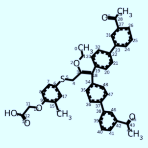 CCOC(CSc1ccc(OCC(=O)O)c(C)c1)=C(c1ccc(-c2cccc(C(C)=O)c2)cc1)c1ccc(-c2cccc(C(C)=O)c2)cc1